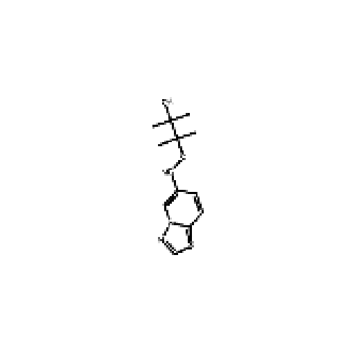 CC(C)(O)C(C)(C)OBc1ccc2ncnn2c1